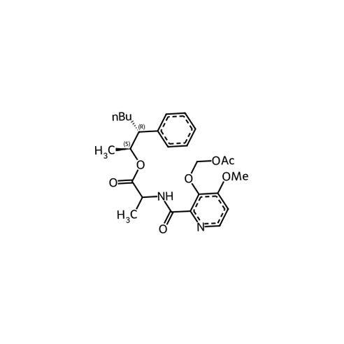 CCCC[C@H](c1ccccc1)[C@H](C)OC(=O)C(C)NC(=O)c1nccc(OC)c1OCOC(C)=O